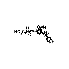 COc1cc(-c2noc(C3CCNCC3)n2)ccc1OCCC(=O)NCC(=O)O